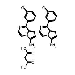 Nc1ccc2c(-c3cccc(Cl)c3)nccn12.Nc1ccc2c(-c3cccc(Cl)c3)nccn12.O=C(O)CC(=O)O